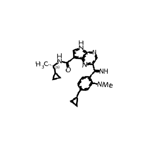 CNc1cc(C2CC2)ccc1C(=N)c1cnc2[nH]cc(C(=O)N[C@@H](C)C3CC3)c2n1